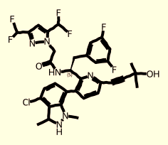 CC1NN(C)c2c(-c3ccc(C#CC(C)(C)O)nc3[C@H](Cc3cc(F)cc(F)c3)NC(=O)Cn3nc(C(F)F)cc3C(F)F)ccc(Cl)c21